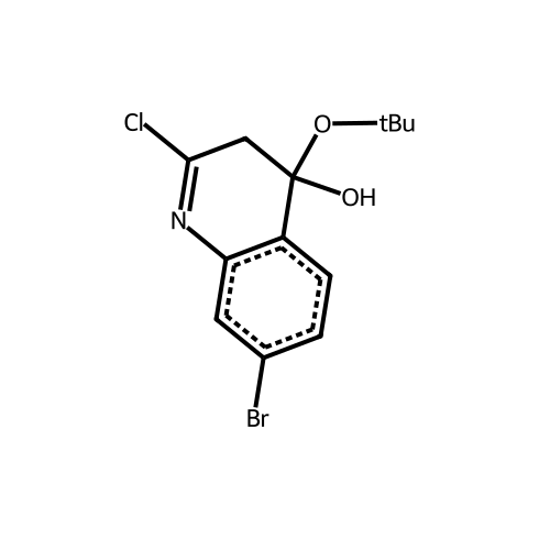 CC(C)(C)OC1(O)CC(Cl)=Nc2cc(Br)ccc21